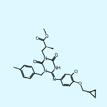 COC(=O)[C@@H](C)Cn1c(=O)[nH]/c(=N\c2ccc(OCC3CC3)c(Cl)c2)n(Cc2ccc(C)cc2)c1=O